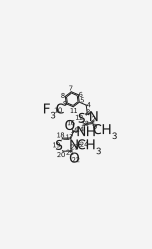 Cc1nc(Cc2cccc(C(F)(F)F)c2)sc1NC(=O)C1=CSCC(=O)N1C